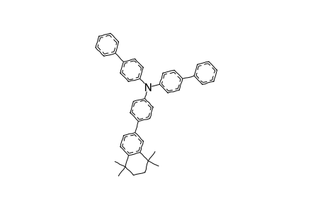 CC1(C)CCC(C)(C)c2cc(-c3ccc(N(c4ccc(-c5ccccc5)cc4)c4ccc(-c5ccccc5)cc4)cc3)ccc21